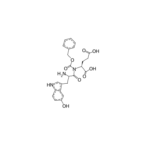 NC(Cc1c[nH]c2ccc(O)cc12)C(=O)N(C(=O)OCc1ccccc1)[C@@H](CCC(=O)O)C(=O)O